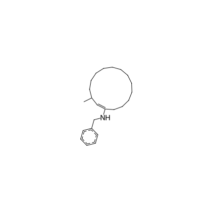 CC1C=C(NCc2ccccc2)CCCCCCCCCCCC1